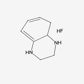 C1=CCC2NCCNC2=C1.F